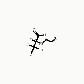 O=C(Cl)C(F)(OCCCl)C(F)(F)F